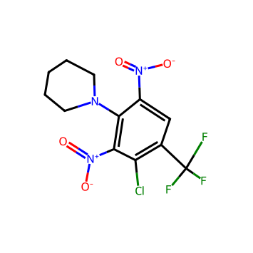 O=[N+]([O-])c1cc(C(F)(F)F)c(Cl)c([N+](=O)[O-])c1N1CCCCC1